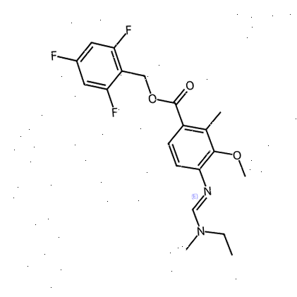 CCN(C)/C=N/c1ccc(C(=O)OCc2c(F)cc(F)cc2F)c(C)c1OC